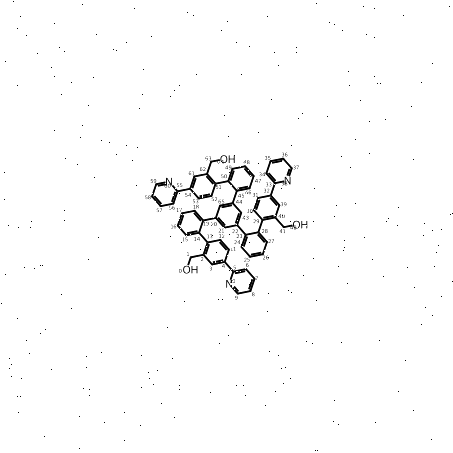 OCc1cc(-c2ccccn2)ccc1-c1ccccc1-c1cc(-c2ccccc2-c2ccc(-c3ccccn3)cc2CO)cc(-c2ccccc2-c2ccc(-c3ccccn3)cc2CO)c1